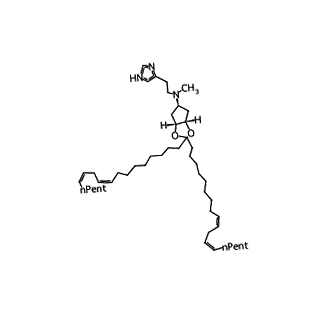 CCCCC/C=C\C/C=C\CCCCCCCCC1(CCCCCCCC/C=C\C/C=C\CCCCC)O[C@H]2C[C@H](N(C)CCc3c[nH]cn3)C[C@H]2O1